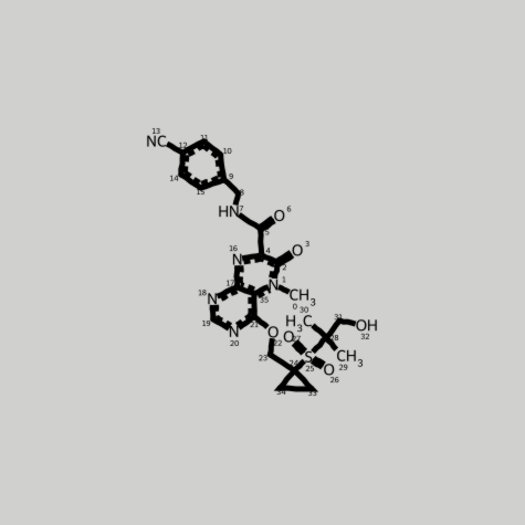 Cn1c(=O)c(C(=O)NCc2ccc(C#N)cc2)nc2ncnc(OCC3(S(=O)(=O)C(C)(C)CO)CC3)c21